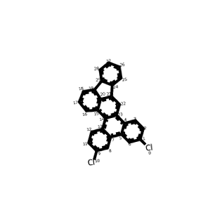 Clc1ccc2c(c1)c1cc(Cl)ccc1c1c3cccc4c3c(cc21)-c1ccccc1-4